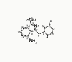 Cc1cccc(Cc2nn(C(C)(C)C)c3ncnc(N)c23)c1